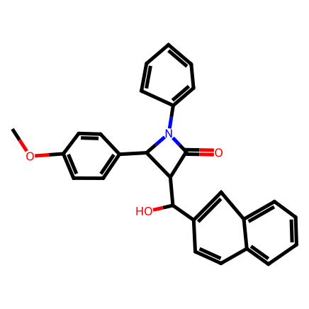 COc1ccc(C2C(C(O)c3ccc4ccccc4c3)C(=O)N2c2ccccc2)cc1